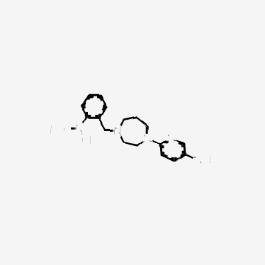 CN(C)c1ccccc1CN1CCCN(c2ccc(N)cn2)CC1